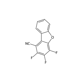 N#Cc1c(F)c(F)c(F)c2oc3ccccc3c12